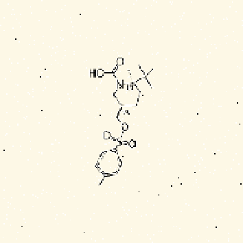 Cc1ccc(S(=O)(=O)OC[C@@H]2CC[C@](C)(C(C)(C)C)N(C(=O)O)C2)cc1